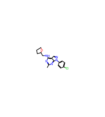 Cc1nc(NCC2CCCO2)c2cnn(-c3ccc(Cl)cc3)c2n1